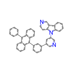 c1ccc(-c2c3ccccc3c(-c3cccc(-c4cncc(-n5c6ccccc6c6cnccc65)c4)c3)c3ccccc23)cc1